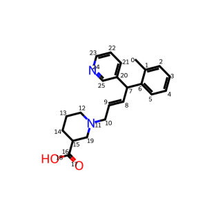 Cc1ccccc1C(C=CCN1CCCC(C(=O)O)C1)c1cccnc1